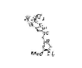 COc1cc(C[S+]([O-])c2nc3cc(OC(F)(F)F)c(OC(F)(F)F)cc3[nH]2)ncc1C